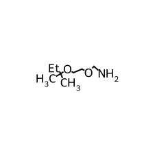 CCC(C)(C)OCCOCN